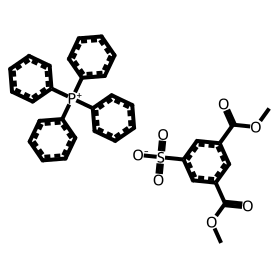 COC(=O)c1cc(C(=O)OC)cc(S(=O)(=O)[O-])c1.c1ccc([P+](c2ccccc2)(c2ccccc2)c2ccccc2)cc1